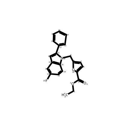 CCOC(=O)c1ccc(Cn2c(-c3ccccc3)cc3cc(F)ccc32)o1